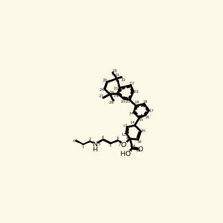 CCCNCCCOC1(C(=O)O)C=CC(c2cccc(-c3ccc4c(c3)C(C)(C)CCC4(C)C)c2)C=C1